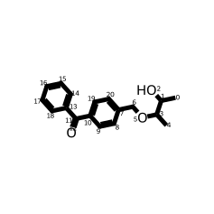 CC(O)C(C)OCc1ccc(C(=O)c2ccccc2)cc1